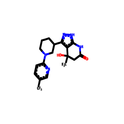 O=C1CC(O)(C(F)(F)F)c2c(C3CCCN(c4ccc(C(F)(F)F)cn4)C3)n[nH]c2N1